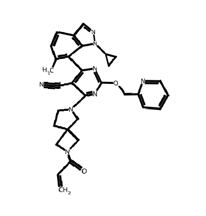 C=CC(=O)N1CC2(CCN(c3nc(OCc4ccccn4)nc(-c4c(C)ccc5cnn(C6CC6)c45)c3C#N)C2)C1